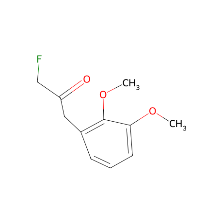 COc1cccc(CC(=O)CF)c1OC